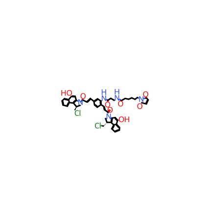 O=C(CCCCCN1C(=O)C=CC1=O)NCCC(=O)Nc1cc(C=CC(=O)N2C[C@@H](CCl)c3c2cc(O)c2ccccc32)ccc1C=CC(=O)N1C[C@@H](CCl)c2c1cc(O)c1ccccc21